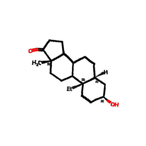 CC[C@]12CC[C@H](O)C[C@@H]1CCC1C2CC[C@]2(C)C(=O)CCC12